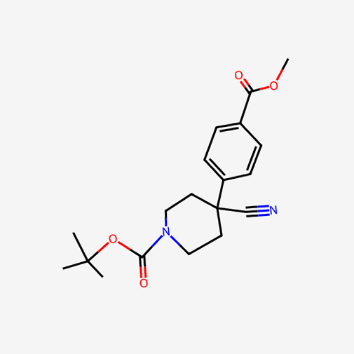 COC(=O)c1ccc(C2(C#N)CCN(C(=O)OC(C)(C)C)CC2)cc1